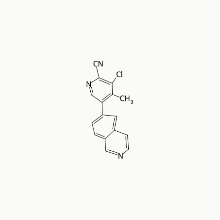 Cc1c(-c2ccc3cnccc3c2)cnc(C#N)c1Cl